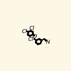 N#CCc1cccc(COc2cc(Cl)c(Cl)cc2Cl)c1